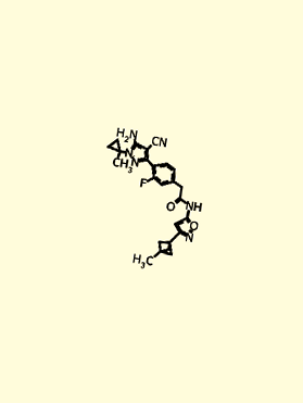 CC12CC(c3cc(NC(=O)Cc4ccc(-c5nn(C6(C)CC6)c(N)c5C#N)c(F)c4)on3)(C1)C2